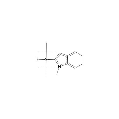 Cn1c(S(F)(C(C)(C)C)C(C)(C)C)cc2c1=CCCC=2